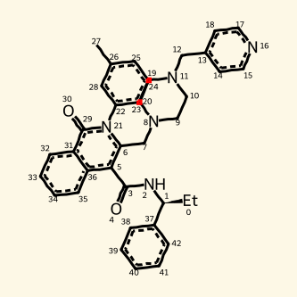 CC[C@H](NC(=O)c1c(CN2CCN(Cc3ccncc3)CC2)n(-c2cccc(C)c2)c(=O)c2ccccc12)c1ccccc1